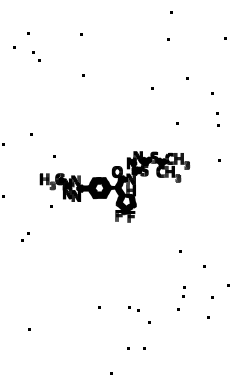 CC(C)Sc1nnc(NC(=O)[C@H](c2ccc(-c3nnn(C)n3)cc2)[C@H]2CCC(F)(F)C2)s1